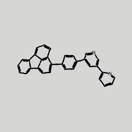 c1ccc(-c2cncc(-c3ccc(-c4ccc5c6c(cccc46)-c4ccccc4-5)cc3)c2)nc1